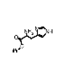 CC(C)OC(=O)C(N)Cc1c[nH]cn1